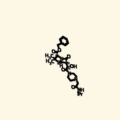 CC(C)NC(=O)CN1CCN(C(=O)[C@@H](O)[C@@H]2C(=O)N3[C@@H]2SC(C)(C)[C@@H]3C(=O)OCc2ccccc2)CC1